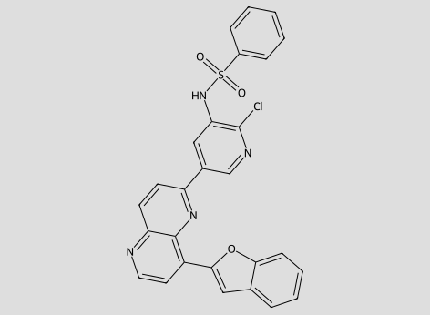 O=S(=O)(Nc1cc(-c2ccc3nccc(-c4cc5ccccc5o4)c3n2)cnc1Cl)c1ccccc1